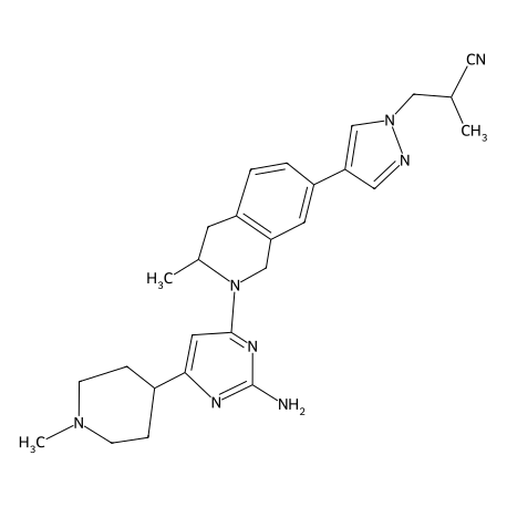 CC(C#N)Cn1cc(-c2ccc3c(c2)CN(c2cc(C4CCN(C)CC4)nc(N)n2)C(C)C3)cn1